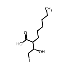 CCCCCCC(C(=O)O)[C@@H](O)CI